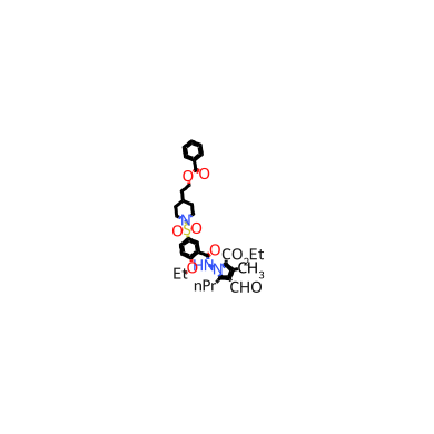 CCCc1c(C=O)c(C)c(C(=O)OCC)n1NC(=O)c1cc(S(=O)(=O)N2CCC(CCOC(=O)c3ccccc3)CC2)ccc1OCC